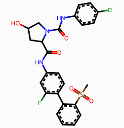 CS(=O)(=O)c1ccccc1-c1ccc(NC(=O)C2CC(O)CN2C(=O)Nc2ccc(Cl)cc2)cc1F